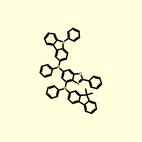 CC1(C)c2ccccc2-c2ccc(N(c3ccccc3)c3cc(N(c4ccccc4)c4ccc5c(c4)c4ccccc4n5-c4ccccc4)cc4oc(-c5ccccc5)nc34)cc21